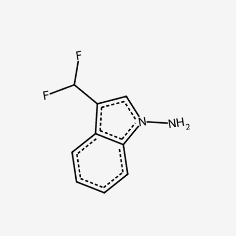 Nn1cc(C(F)F)c2ccccc21